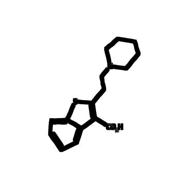 O=C(O)c1c(CCN2CCCCC2)sc2ccccc12